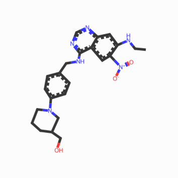 CCNc1cc2ncnc(NCc3ccc(N4CCCC(CO)C4)cc3)c2cc1[N+](=O)[O-]